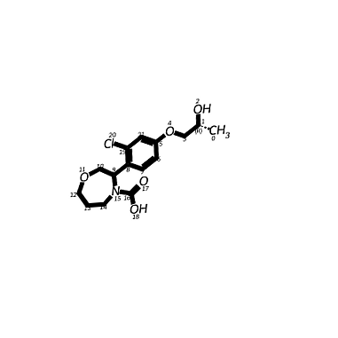 C[C@@H](O)COc1ccc(C2COCCCN2C(=O)O)c(Cl)c1